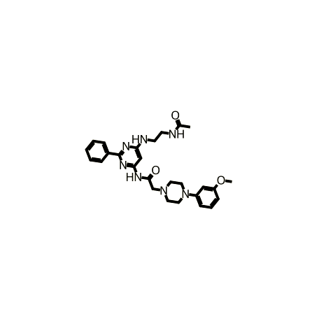 COc1cccc(N2CCN(CC(=O)Nc3cc(NCCNC(C)=O)nc(-c4ccccc4)n3)CC2)c1